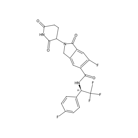 O=C1CCC(N2Cc3cc(C(=O)N[C@H](c4ccc(F)cc4)C(F)(F)F)c(F)cc3C2=O)C(=O)N1